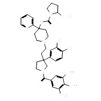 COc1cc(C(=O)N2CCC(CCN3CCC(NC(=O)N4CCCC4C(=O)O)(c4ccccn4)CC3)(c3ccc(Cl)c(Cl)c3)C2)cc(OC)c1OC